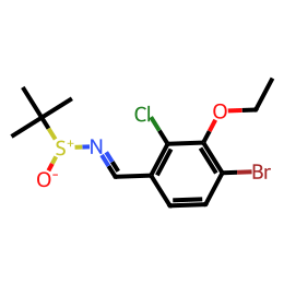 CCOc1c(Br)ccc(/C=N/[S+]([O-])C(C)(C)C)c1Cl